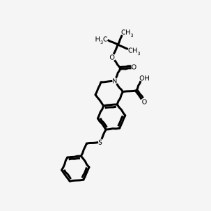 CC(C)(C)OC(=O)N1CCc2cc(SCc3ccccc3)ccc2C1C(=O)O